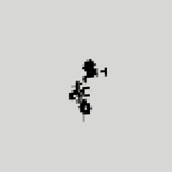 O=C(NCCc1c[nH]c2ccccc12)c1cccnc1Oc1ccc(F)cc1